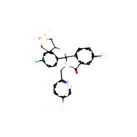 O=C1c2cc(Br)ccc2C(OC2CCS(=O)(=O)C2)(c2ccc(Cl)cc2)N1Cc1ccc(Cl)cn1